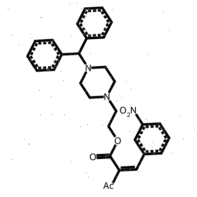 CC(=O)C(=Cc1cccc([N+](=O)[O-])c1)C(=O)OCCN1CCN(C(c2ccccc2)c2ccccc2)CC1